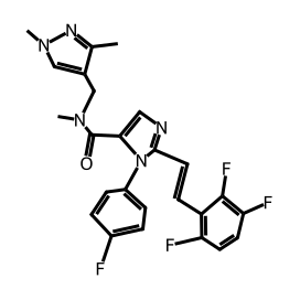 Cc1nn(C)cc1CN(C)C(=O)c1cnc(C=Cc2c(F)ccc(F)c2F)n1-c1ccc(F)cc1